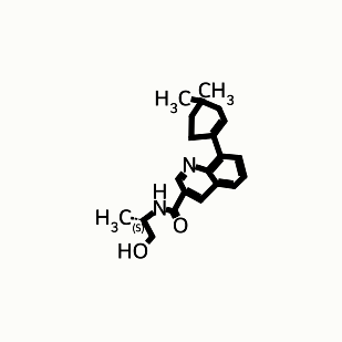 C[C@@H](CO)NC(=O)c1cnc2c(C3=CCC(C)(C)CC3)cccc2c1